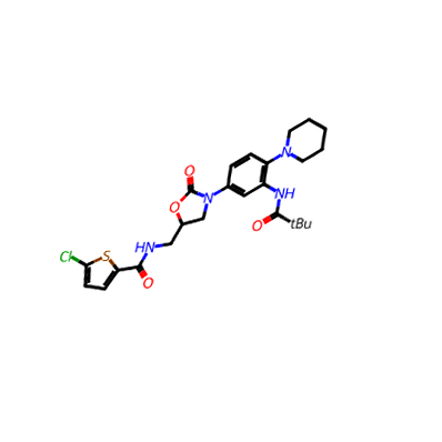 CC(C)(C)C(=O)Nc1cc(N2CC(CNC(=O)c3ccc(Cl)s3)OC2=O)ccc1N1CCCCC1